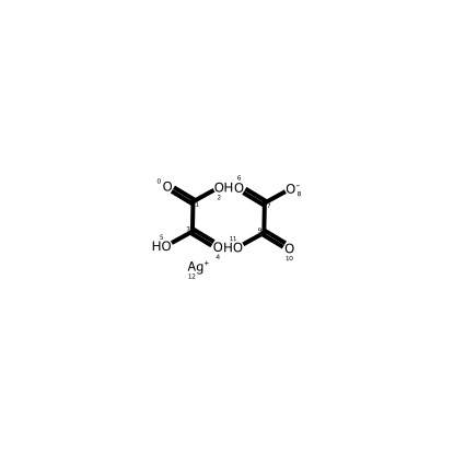 O=C(O)C(=O)O.O=C([O-])C(=O)O.[Ag+]